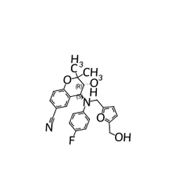 CC1(C)Oc2ccc(C#N)cc2[C@H](N(Cc2ccc(CO)o2)c2ccc(F)cc2)[C@H]1O